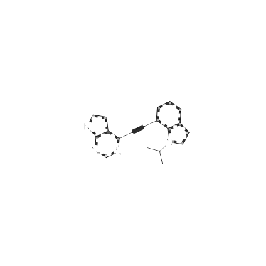 CC(C)n1ccc2cccc(C#Cc3ncnc4[nH]ccc34)c21